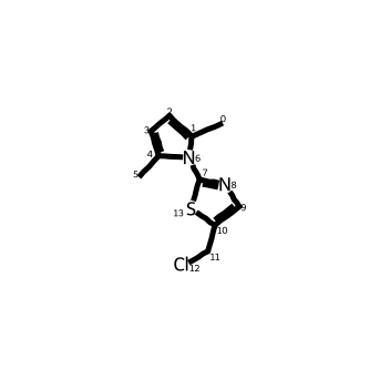 Cc1ccc(C)n1-c1ncc(CCl)s1